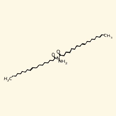 CCCCCCCCC=CCCCCCCCC(=O)N(N)C(=O)CCCCCCCC=CCCCCCCCC